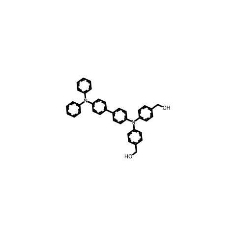 OCc1ccc(N(c2ccc(CO)cc2)c2ccc(-c3ccc(N(c4ccccc4)c4ccccc4)cc3)cc2)cc1